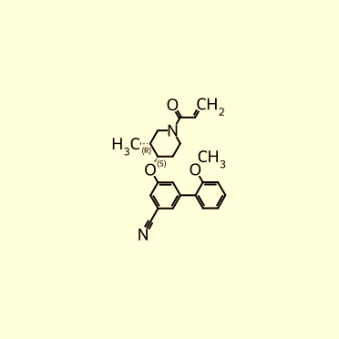 C=CC(=O)N1CC[C@H](Oc2cc(C#N)cc(-c3ccccc3OC)c2)[C@H](C)C1